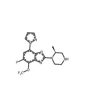 C[C@H]1CNCCN1c1nc2c(OC(F)(F)F)c(F)cc(-n3cccn3)c2o1